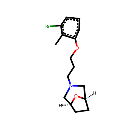 Cc1c(Br)cccc1OCCCN1C[C@H]2CC[C@@H](C1)O2